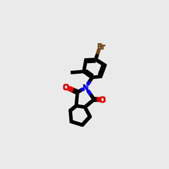 Cc1cc(Br)ccc1N1C(=O)C2CCCCC2C1=O